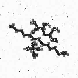 CC(C)CC(N)C(=O)O.CCCCCCCCCCC[CH2][Na].O=S(=O)(O)O